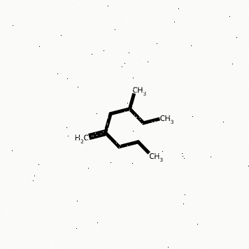 C=C(CCC)CC(C)CC